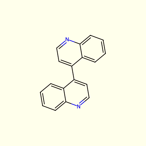 c1ccc2c(-c3ccnc4ccccc34)ccnc2c1